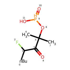 CCCCC(F)C(=O)C(C)(C)O[PH](=O)O